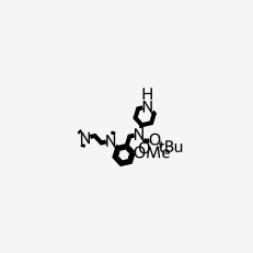 COc1cccc(N(C)CCN(C)C)c1CN(C(=O)OC(C)(C)C)C1CCNCC1